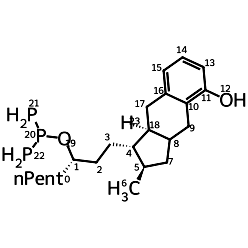 CCCCC[C@@H](CC[C@H]1[C@H](C)CC2Cc3c(O)cccc3C[C@@H]21)OP(P)P